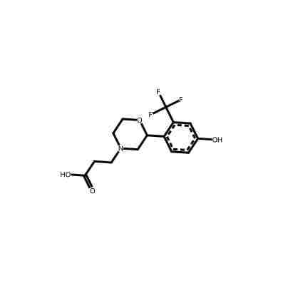 O=C(O)CCN1CCOC(c2ccc(O)cc2C(F)(F)F)C1